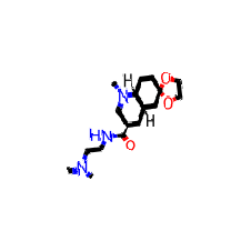 CN(C)CCNC(=O)[C@@H]1C[C@@H]2CC3(CC[C@H]2N(C)C1)OCCO3